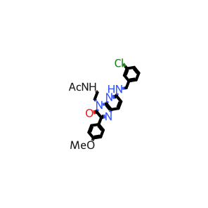 COc1ccc(-c2nc3ccc(NCc4cccc(Cl)c4)nc3n(CCNC(C)=O)c2=O)cc1